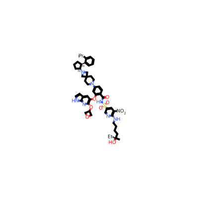 CC[C@@](C)(O)CCCCNc1ncc(S(=O)(=O)NC(=O)c2ccc(N3CCC4(CC3)CN([C@H]3CCC[C@H]3c3ccccc3C(C)C)C4)cc2Oc2cc3cc[nH]c3nc2OC2COC2)cc1[N+](=O)[O-]